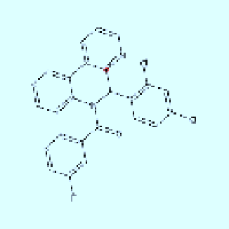 CCC(c1ccc(Cl)cc1Cl)N(C(=O)c1cccc(F)c1)c1ccccc1-c1cccnc1